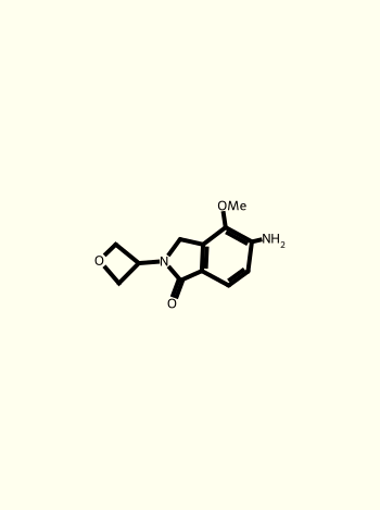 COc1c(N)ccc2c1CN(C1COC1)C2=O